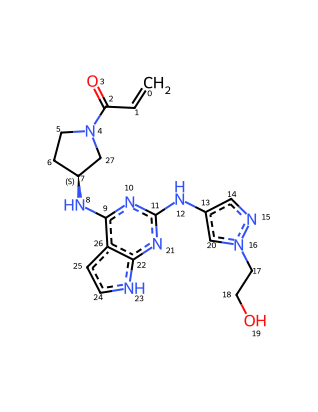 C=CC(=O)N1CC[C@H](Nc2nc(Nc3cnn(CCO)c3)nc3[nH]ccc23)C1